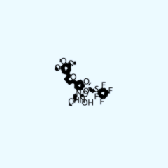 COCCN(C(=O)NO)c1cc(C2CCC(c3cc(OC)c(OC)c(OC)c3)O2)cc(OC)c1OCCSc1c(F)c(F)cc(F)c1F